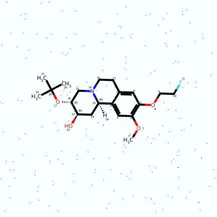 COc1cc2c(cc1OCCF)CCN1C[C@@H](OC(C)(C)C)[C@H](O)C[C@H]21